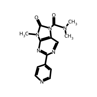 CN(C)C(=O)n1c(=O)n(C)c2nc(-c3ccncc3)ncc21